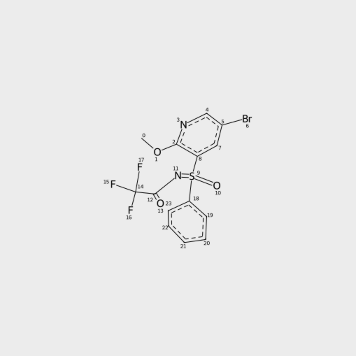 COc1ncc(Br)cc1S(=O)(=NC(=O)C(F)(F)F)c1ccccc1